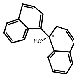 O[C@]1(c2cccc3ccccc23)CC=Cc2ccccc21